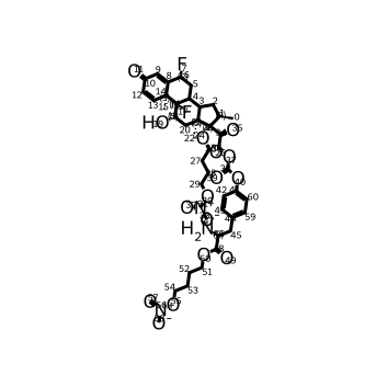 C[C@@H]1CC2C3C[C@H](F)C4=CC(=O)C=C[C@]4(C)[C@@]3(F)[C@@H](O)C[C@]2(C)[C@@]1(OC(=O)CCCO[N+](=O)[O-])C(=O)COC(=O)Oc1ccc(C[C@H](N)C(=O)OCCCCO[N+](=O)[O-])cc1